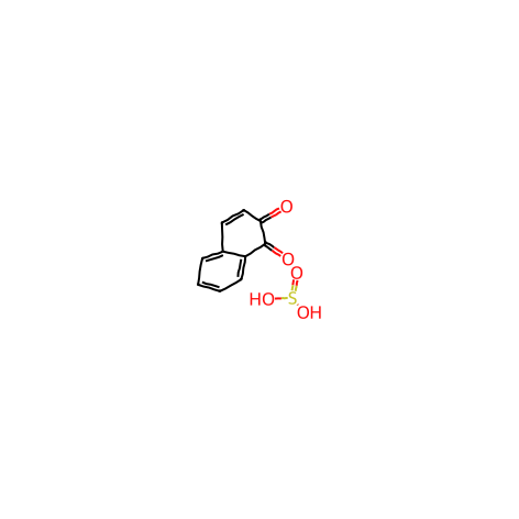 O=C1C=Cc2ccccc2C1=O.O=S(O)O